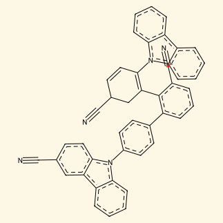 N#Cc1ccc2c(c1)c1ccccc1n2-c1ccc(-c2cccc(C#N)c2C2=C(n3c4ccccc4c4ccccc43)C=CC(C#N)C2)cc1